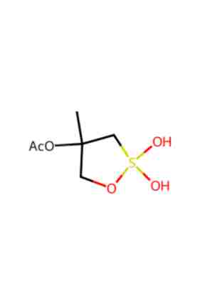 CC(=O)OC1(C)COS(O)(O)C1